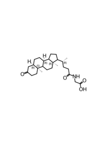 C[C@H](CCC(=O)NCC(=O)O)C1CCC2[C@@H]3CC[C@@H]4CC(=O)CC[C@]4(C)C3CC[C@@]21C